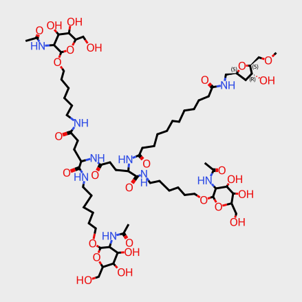 COC[C@@H]1O[C@H](CNC(=O)CCCCCCCCCCC(=O)NC(CCC(=O)NC(CCC(=O)NCCCCCCOC2OC(CO)C(O)C(O)C2NC(C)=O)C(=O)NCCCCCCOC2OC(CO)C(O)C(O)C2NC(C)=O)C(=O)NCCCCCCOC2OC(CO)C(O)C(O)C2NC(C)=O)C[C@H]1O